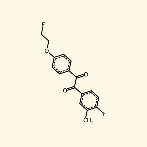 Cc1cc(C(=O)C(=O)c2ccc(OCCF)cc2)ccc1F